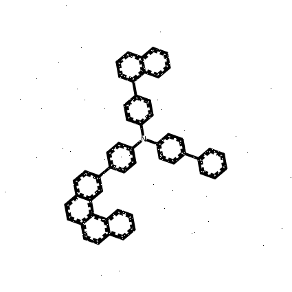 c1ccc(-c2ccc(N(c3ccc(-c4ccc5ccc6ccc7ccccc7c6c5c4)cc3)c3ccc(-c4cccc5ccccc45)cc3)cc2)cc1